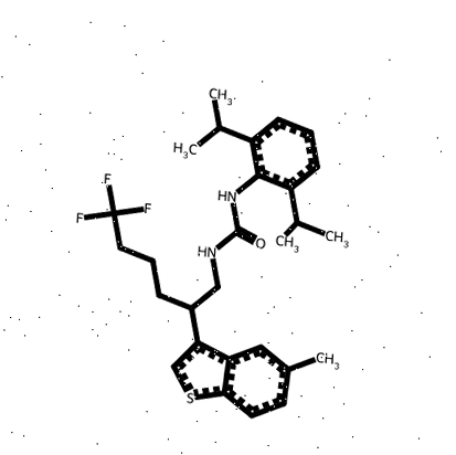 Cc1ccc2scc(C(CCCC(F)(F)F)CNC(=O)Nc3c(C(C)C)cccc3C(C)C)c2c1